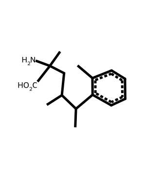 Cc1ccccc1C(C)C(C)CC(C)(N)C(=O)O